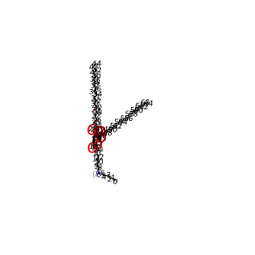 CCCCCC/C=C\CCCCCCCC(=O)OC[C@H](COC(=O)CCCCCCCCCCCCCCCCCCCCC)OC(=O)CCCCCCCCCCCCCCCCC